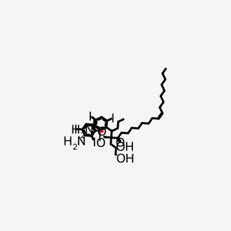 CCCCCCCC/C=C\CCCCCCCC(=O)C(CC(O)CO)(C(=O)Oc1c(I)cc(I)c(N)c1I)C(CCC)c1c(I)cc(I)c(N)c1I